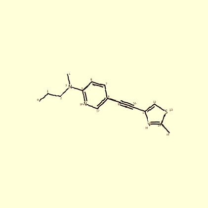 CCCN(C)c1ccc(C#Cc2csc(C)n2)cn1